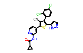 [C-]#[N+]c1c(-c2ccnc(NC(=O)C3CC3)c2)sc(-c2ccn[nH]2)c1-c1ccc(Cl)cc1Cl